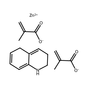 C1=CCC2=CCCNC2=C1.C=C(C)C(=O)[O-].C=C(C)C(=O)[O-].[Zn+2]